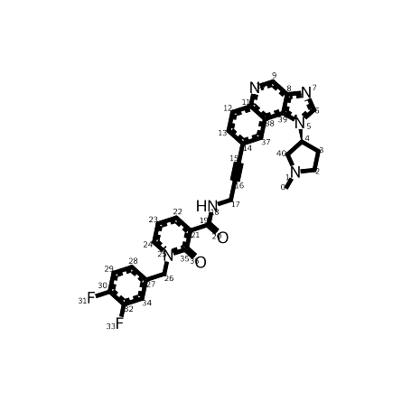 CN1CC[C@H](n2cnc3cnc4ccc(C#CCNC(=O)c5cccn(Cc6ccc(F)c(F)c6)c5=O)cc4c32)C1